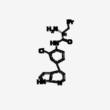 CC(C)C[C@@H](N)C(=O)Nc1ccc(-c2ccnc3[nH]ccc23)cc1Cl